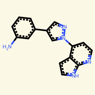 Nc1cccc(-c2cnn(-c3ccnc4[nH]ccc34)c2)c1